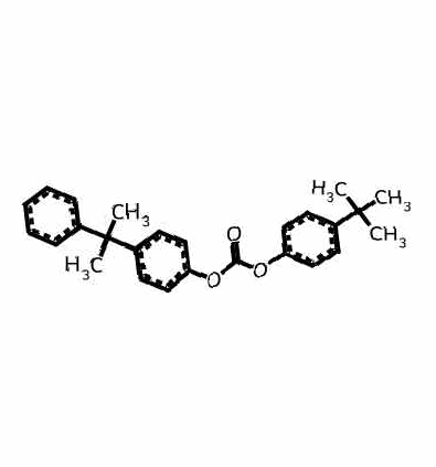 CC(C)(C)c1ccc(OC(=O)Oc2ccc(C(C)(C)c3ccccc3)cc2)cc1